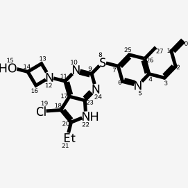 C=C/C=C\c1ncc(Sc2nc(N3CC(O)C3)c3c(Cl)c(CC)[nH]c3n2)cc1C